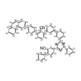 N#Cc1cc(-c2nc(-c3ccccc3)nc(-c3cccc(-c4cccc(-c5cccc(-c6ccc(-c7ccc8ccc9ccccc9c8c7)cc6)c5C#N)c4)c3)n2)ccc1-c1ccccc1